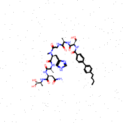 CCCCc1ccc(-c2ccc(C(=O)N[C@H](CO)C(=O)N[C@H](C)C(=O)NCC(=O)N(C)[C@@H](Cc3c[nH]cn3)C(=O)N[C@@H](C)C(=O)N[C@@H](CC(N)=O)C(=O)N[C@@H](C)B(O)O)cc2)cc1